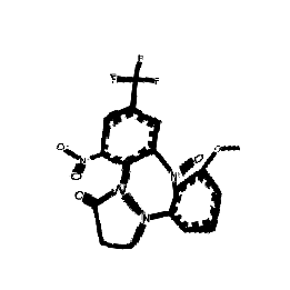 COc1cccc(N2CCC(=O)N2c2c([N+](=O)[O-])cc(C(F)(F)F)cc2[N+](=O)[O-])c1